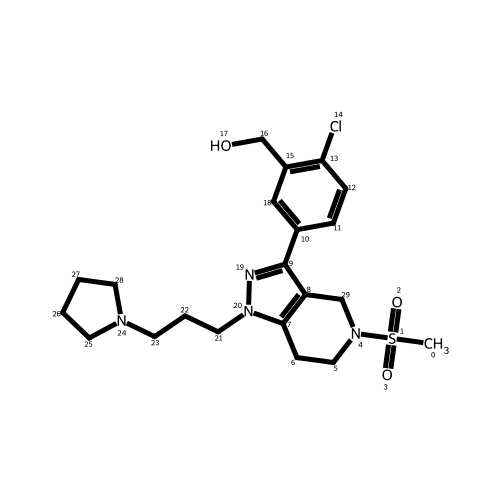 CS(=O)(=O)N1CCc2c(c(-c3ccc(Cl)c(CO)c3)nn2CCCN2CCCC2)C1